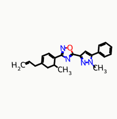 C=CCC1=CC=C(c2noc(-c3cc(-c4ccccc4)n(C)n3)n2)C(C)C1